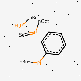 CCCCCCCCP=[Se].CCCCP.CCCCPc1ccccc1